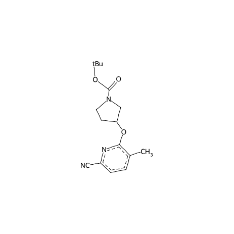 Cc1ccc(C#N)nc1OC1CCN(C(=O)OC(C)(C)C)C1